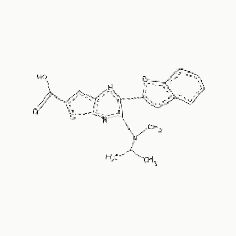 CC(C)N(C)c1nc2sc(C(=O)O)cc2nc1-c1cc2ccccc2o1